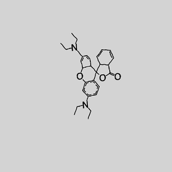 CCN(CC)C1=CC2Oc3cc(N(CC)CC)ccc3C3(OC(=O)C4C=CC=CC43)C2C=C1